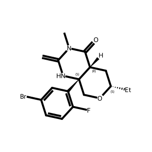 C=C1N[C@@]2(c3cc(Br)ccc3F)CO[C@@H](CC)C[C@H]2C(=O)N1C